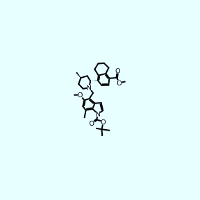 COC(=O)c1ccc([C@H]2C[C@H](C)CCN2Cc2c(OC)cc(C)c3c2ccn3C(=O)OC(C)(C)C)c2c1CCCC2